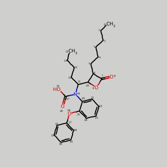 CCCCCCC1C(=O)OC1C(CCCC)N(C(=O)O)c1ccccc1Oc1ccccc1